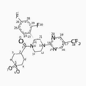 O=C(C1CCS(=O)(=O)CC1)N1CCN(c2ncc(C(F)(F)F)cn2)C[C@H]1c1ccc(F)cc1F